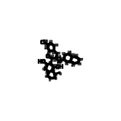 Cc1cccc2nc(O)c(C(=O)C(Cc3ccc(Cl)cc3)Nc3ccc4ccccc4c3)c(O)c12